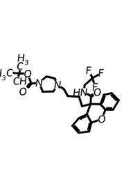 CC(C)(C)OC(=O)N1CCN(CCCCC2(C(=O)NCC(F)(F)F)c3ccccc3Oc3ccccc32)CC1